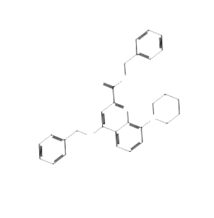 O=C(OCc1ccccc1)c1cc(OCc2ccccc2)c2cccc(N3CCCCC3)c2n1